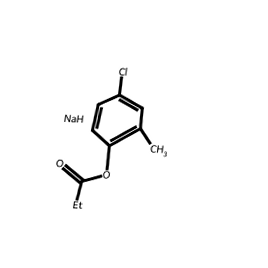 CCC(=O)Oc1ccc(Cl)cc1C.[NaH]